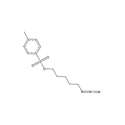 Cc1ccc(S(=O)(=O)OCCCCCN=[N+]=[N-])cc1